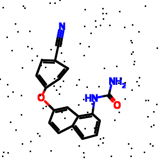 N#Cc1ccc(Oc2ccc3cccc(NC(N)=O)c3c2)cc1